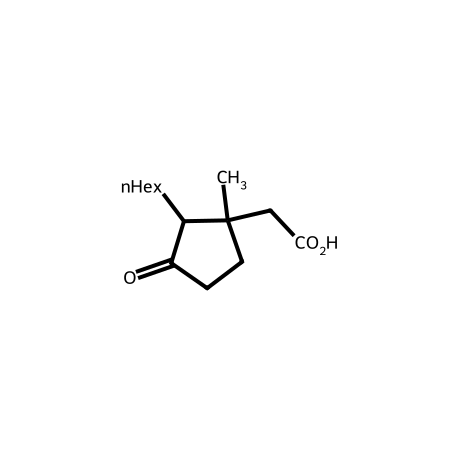 CCCCCCC1C(=O)CCC1(C)CC(=O)O